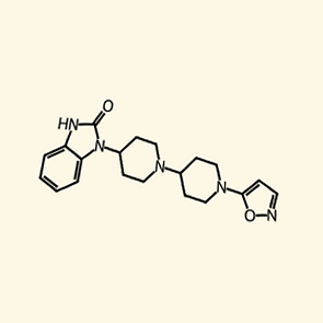 O=c1[nH]c2ccccc2n1C1CCN(C2CCN(c3ccno3)CC2)CC1